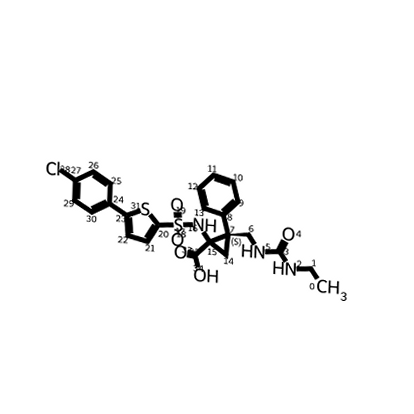 CCNC(=O)NC[C@@]1(c2ccccc2)CC1(NS(=O)(=O)c1ccc(-c2ccc(Cl)cc2)s1)C(=O)O